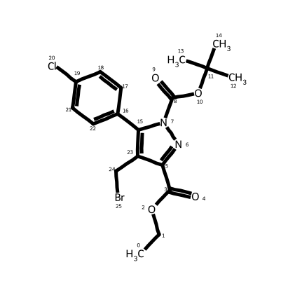 CCOC(=O)c1nn(C(=O)OC(C)(C)C)c(-c2ccc(Cl)cc2)c1CBr